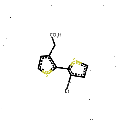 CCc1ccsc1-c1sccc1CC(=O)O